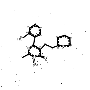 CCC(C)n1c(C)nc(-c2ccccc2O)c(CCc2ccccc2)c1=O